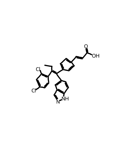 CCC(=C(c1ccc(C=CC(=O)O)cc1)c1ccc2[nH]ncc2c1)c1ccc(Cl)cc1Cl